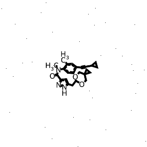 Cc1cc(C#CC2CC2)ccc1N(C)C(=O)c1cc(CC2OCC3(CC3)CO2)[nH]n1